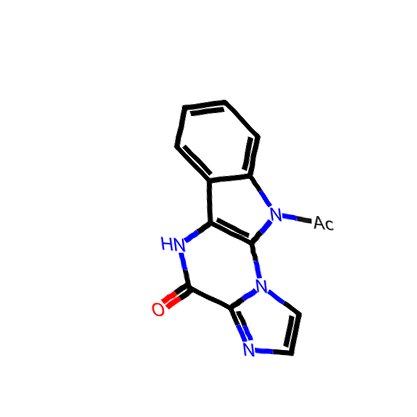 CC(=O)n1c2ccccc2c2[nH]c(=O)c3nccn3c21